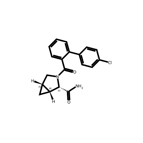 NC(=O)[C@@H]1[C@@H]2C[C@@H]2CN1C(=O)c1ccccc1-c1ccc(Cl)cc1